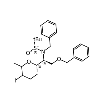 CC1O[C@H]([C@H](COCc2ccccc2)N(Cc2ccccc2)[S@@+]([O-])C(C)(C)C)CCC1I